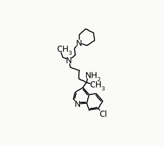 CCN(CCCC(C)(N)c1ccnc2cc(Cl)ccc12)CCN1CCCCC1